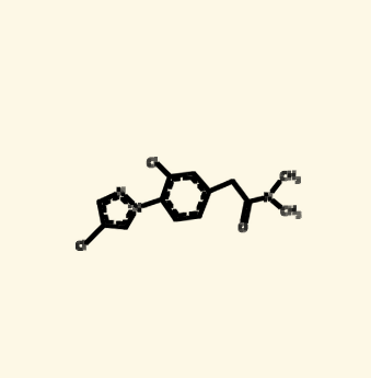 CN(C)C(=O)Cc1ccc(-n2cc(Cl)cn2)c(Cl)c1